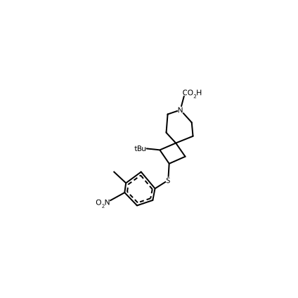 Cc1cc(SC2CC3(CCN(C(=O)O)CC3)C2C(C)(C)C)ccc1[N+](=O)[O-]